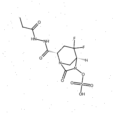 CCC(=O)NNC(=O)[C@@H]1CC(F)(F)[C@@H]2CN1C(=O)N2OS(=O)(=O)O